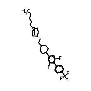 CCCCC[Si@H]1CC[C@H](CCC2CCC(c3cc(F)c(-c4ccc(C(F)(F)F)cc4)c(F)c3)CC2)CC1